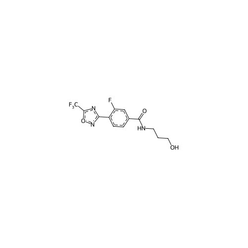 O=C(NCCCO)c1ccc(-c2noc(C(F)(F)F)n2)c(F)c1